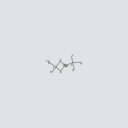 CC1(I)CN(C(C)(C)C)C1